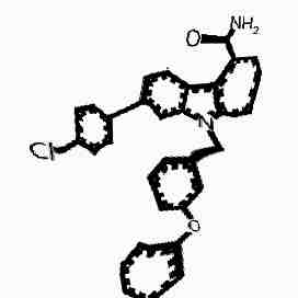 NC(=O)c1cccc2c1c1[c]cc(-c3ccc(Cl)cc3)cc1n2Cc1cccc(Oc2ccccc2)c1